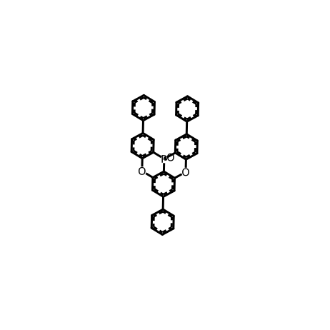 O=P12c3cc(-c4ccccc4)ccc3Oc3cc(-c4ccccc4)cc(c31)Oc1ccc(-c3ccccc3)cc12